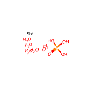 O.O.O.O.O.O=P(O)(O)O.[Sb]